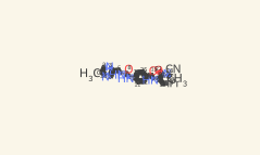 Cc1cnc(CNC(=O)Nc2ccc(C(=O)NC(CC(C)C)C(=O)N(C)C#N)cc2)cn1